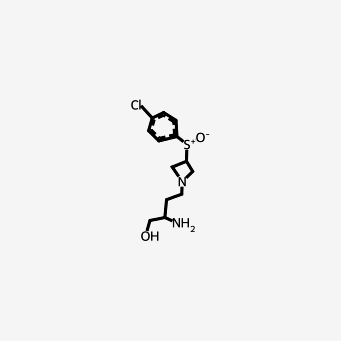 NC(CO)CCN1CC([S+]([O-])c2ccc(Cl)cc2)C1